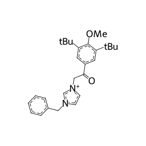 COc1c(C(C)(C)C)cc(C(=O)C[n+]2ccn(Cc3ccccc3)c2)cc1C(C)(C)C